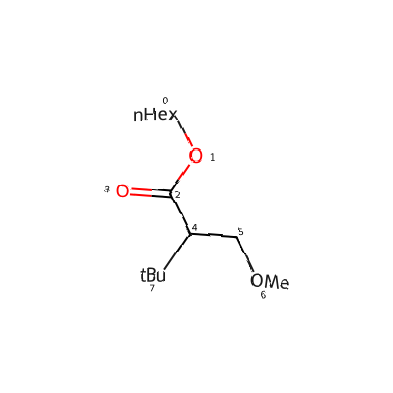 CCCCCCOC(=O)C(COC)C(C)(C)C